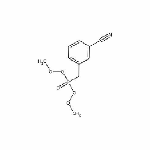 COOP(=O)(Cc1cccc(C#N)c1)OOC